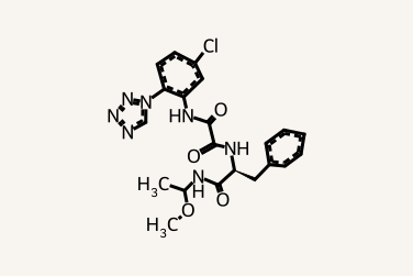 COC(C)NC(=O)[C@H](Cc1ccccc1)NC(=O)C(=O)Nc1cc(Cl)ccc1-n1cnnn1